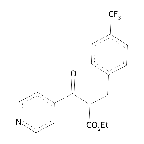 CCOC(=O)C(Cc1ccc(C(F)(F)F)cc1)C(=O)c1ccncc1